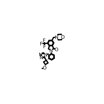 CO[C@H]1C[C@](c2cccc(N3Cc4c(cc(CN5CCOCC5)cc4C(F)(F)F)C3=O)c2)(c2nncn2C)C1